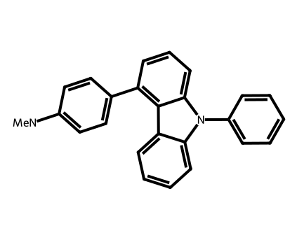 CNc1ccc(-c2cccc3c2c2ccccc2n3-c2ccccc2)cc1